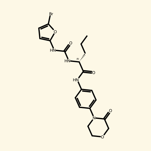 CCC[C@@H](NC(=O)Nc1ccc(Br)o1)C(=O)Nc1ccc(N2CCOCC2=O)cc1